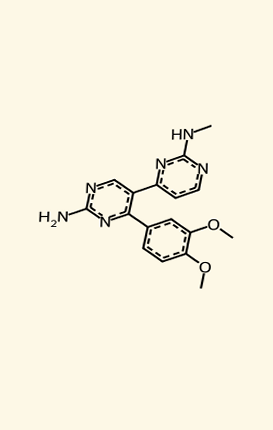 CNc1nccc(-c2cnc(N)nc2-c2ccc(OC)c(OC)c2)n1